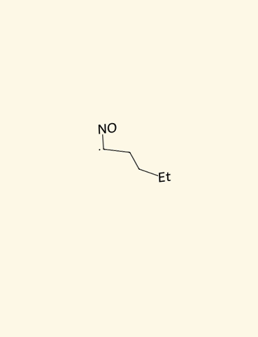 [CH2]CCC[CH]N=O